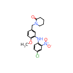 COc1ccc(CN2CCCCC2=O)cc1Nc1ccc(Cl)cc1[N+](=O)[O-]